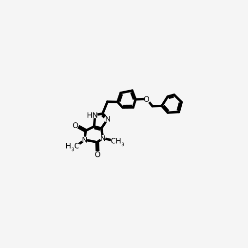 Cn1c(=O)c2[nH]c(Cc3ccc(OCc4ccccc4)cc3)nc2n(C)c1=O